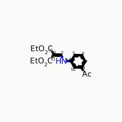 CCOC(=O)C(=CNc1cccc(C(C)=O)c1)C(=O)OCC